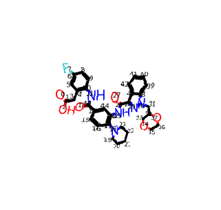 O=C(O)Cc1cc(F)ccc1NC(=O)c1ccc(N2CCCCC2)c(NC(=O)c2nn(CC3COCCO3)c3ccccc23)c1